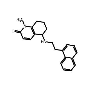 Cn1c2c(ccc1=O)C(NCCc1cccc3ccccc13)CCC2